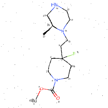 CCCCOC(=O)N1CCC(F)(CCN2CCNC[C@@H]2C)CC1